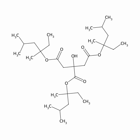 CCC(C)(CC(C)C)OC(=O)CC(O)(CC(=O)OC(C)(CC)CC(C)C)C(=O)OC(C)(CC)CC(C)C